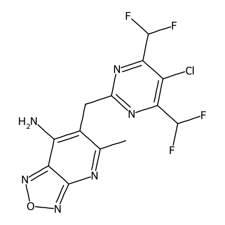 Cc1nc2nonc2c(N)c1Cc1nc(C(F)F)c(Cl)c(C(F)F)n1